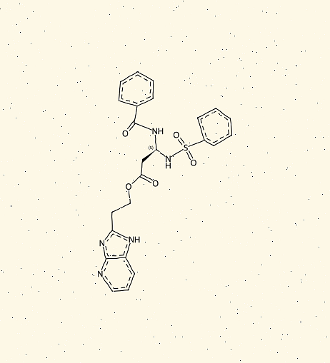 O=C(C[C@@H](NC(=O)c1ccccc1)NS(=O)(=O)c1ccccc1)OCCc1nc2ncccc2[nH]1